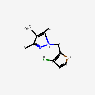 Cc1nn(Cc2sccc2Br)c(C)c1C=O